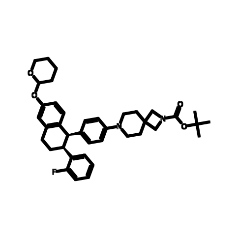 CC(C)(C)OC(=O)N1CC2(CCN(c3ccc([C@@H]4c5ccc(OC6CCCCO6)cc5CC[C@@H]4c4ccccc4F)cc3)CC2)C1